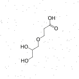 O=C(O)CCOCC(O)CO